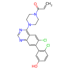 C=CC(=O)N1CCN(c2ncnc3cc(-c4cc(O)ccc4Cl)c(Cl)cc23)CC1